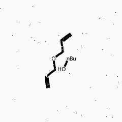 C=CCOCC=C.CCCCO